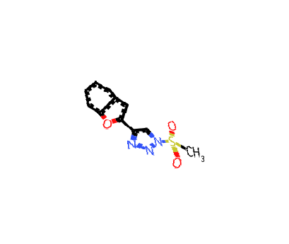 CS(=O)(=O)n1cc(-c2cc3ccccc3o2)nn1